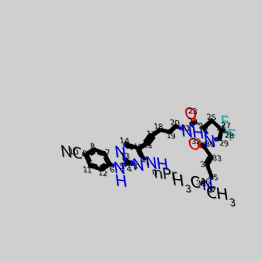 CCCNc1nc(Nc2ccc(C#N)cc2)ncc1C#CCCCNC(=O)[C@@H]1CC(F)(F)CN1C(=O)/C=C/CN(C)C